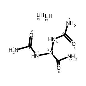 NC(=O)NN(NC(N)=O)C(N)=O.[LiH].[LiH]